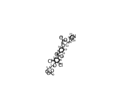 CC(=O)O[C@@H](CCl)COc1c(Cl)cc(S(=O)(=O)c2ccc(OC[C@@H](Cn3ccnc3)OC(C)=O)cc2)cc1Cl